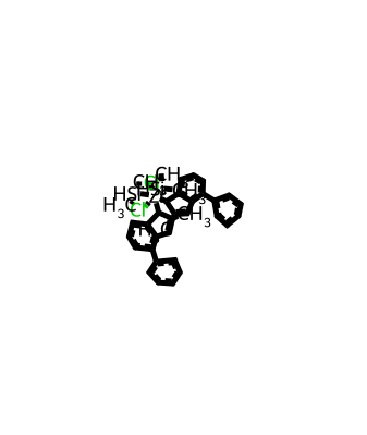 CC1=Cc2c(-c3ccccc3)cccc2[CH]1[Zr]([Cl])([Cl])([CH]1C(C)=Cc2c(-c3ccccc3)cccc21)([SiH](C)C)[SiH](C)C